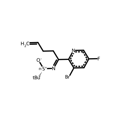 C=CCCC(=N[S@@+]([O-])C(C)(C)C)c1ncc(F)cc1Br